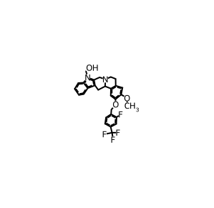 COc1cc2c(cc1OCc1ccc(C(F)(F)F)cc1F)C1Cc3c(n(CO)c4ccccc34)CN1CC2